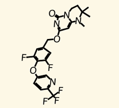 CN1c2cc(OCc3cc(F)c(Oc4ccc(C(F)(F)F)nc4)c(F)c3)nc(=O)n2CCC1(C)C